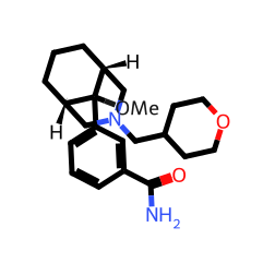 COC1(c2cccc(C(N)=O)c2)[C@@H]2CCC[C@H]1CN(CC1CCOCC1)C2